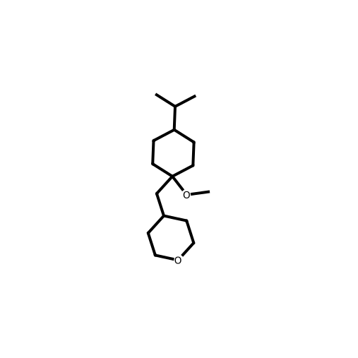 COC1(CC2CCOCC2)CCC(C(C)C)CC1